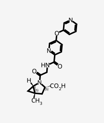 C[C@@]12C[C@@H]1N(C(=O)CNC(=O)c1ccc(Oc3cccnc3)cn1)[C@H](C(=O)O)C2